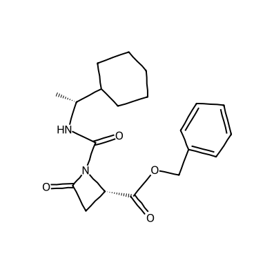 C[C@@H](NC(=O)N1C(=O)C[C@H]1C(=O)OCc1ccccc1)C1CCCCC1